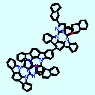 c1ccc(-n2c3ccccc3c3ccc4c5ccccc5n(-c5nc(-c6ccc7ccccc7c6)nc(-n6c7ccccc7c7ccc8c9cc(-c%10cc%11c%12ccccc%12n(-c%12ccccc%12)c%11c%11c%10c%10ccccc%10n%11-c%10nc(-c%11ccc%12ccccc%12c%11)cc(-c%11ccc%12ccccc%12c%11)n%10)ccc9n(-c9ccccc9)c8c76)n5)c4c32)cc1